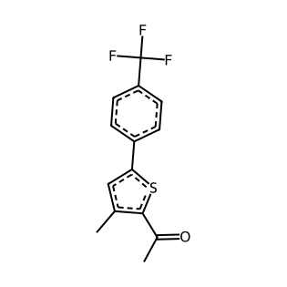 CC(=O)c1sc(-c2ccc(C(F)(F)F)cc2)cc1C